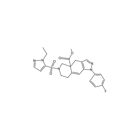 CCn1nccc1S(=O)(=O)N1CCC2=Cc3c(cnn3-c3ccc(F)cc3)CC2(C(=O)OC)C1